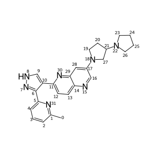 Cc1cccc(-c2n[nH]cc2-c2ccc3ncc(N4CCC(N5CCCC5)C4)cc3n2)n1